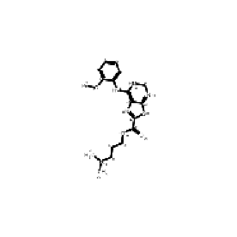 CC(C)Oc1ccccc1NC1=c2nc(C(=O)NCCCN(C)C)sc2=NCN1